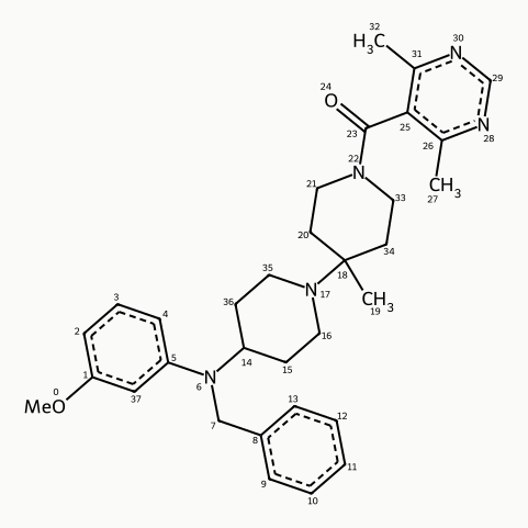 COc1cccc(N(Cc2ccccc2)C2CCN(C3(C)CCN(C(=O)c4c(C)ncnc4C)CC3)CC2)c1